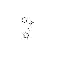 O=C(NC1=C(O)C2Nc3ccccc3C1O2)Nc1c(Cl)c(Cl)c(Cl)c(Cl)c1Cl